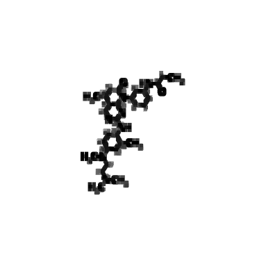 C=CC(=O)Nc1cccc(-n2c(=O)cc(C)c3cnc(Nc4ccc(N(C)CCN(C)C)cc4C)nc32)c1